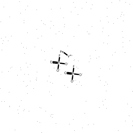 O=P([O-])([O-])F.O=P([O-])([O-])F.[V+4][Fe]